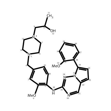 COc1cc(CN2CCN(CC(C)O)CC2)ccc1Nc1ncc2ccc(-c3ccccc3OC)n2n1